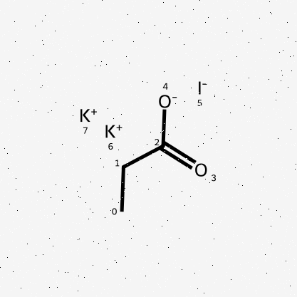 CCC(=O)[O-].[I-].[K+].[K+]